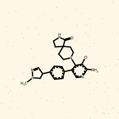 CN1CC(c2ccc(-c3cnc(N)c(Cl)c3N3CCC4(CCNC4=O)CC3)cc2)C=N1